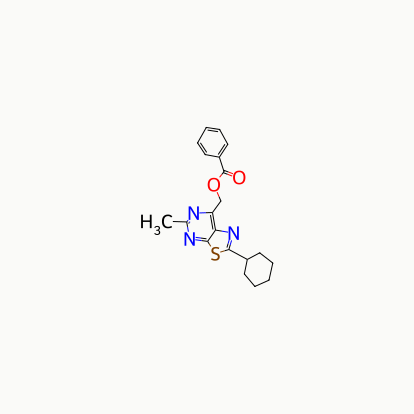 Cc1nc(COC(=O)c2ccccc2)c2nc(C3CCCCC3)sc2n1